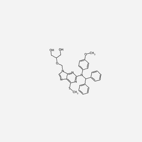 COc1ccc(N(c2nc(SC)c3ncn(COC(CO)CO)c3n2)C(c2ccccc2)c2ccccc2)cc1